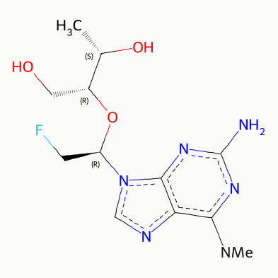 CNc1nc(N)nc2c1ncn2[C@@H](CF)O[C@H](CO)[C@H](C)O